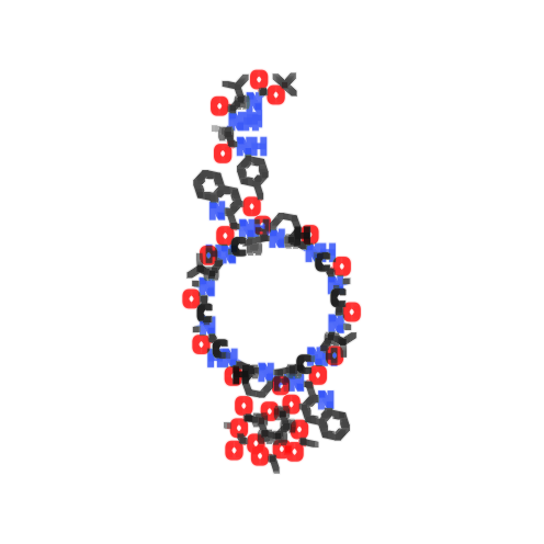 COC(=O)[C@H]1O[C@@H](Oc2cc3ccccc3nc2C(=O)N[C@@H]2CNC(=O)[C@H](C(C)C)N(C)C(=O)CN(C)C(=O)CNC(=O)[C@@H]3CCCCN3C(=O)[C@H](NC(=O)c3nc4ccccc4cc3OCc3ccc(NC(=O)[C@H](C)NC(=O)[C@@H](NC(=O)OC(C)(C)C)C(C)C)cc3)CNC(=O)[C@H](C(C)C)N(C)C(=O)CN(C)C(=O)CNC(=O)[C@@H]3CCCCN3C2=O)[C@H](OC(C)=O)[C@@H](OC(C)=O)[C@@H]1OC(C)=O